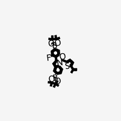 C=C(C)c1ccc(C2Oc3cc(B4OC(C)(C)C(C)(C)O4)cc(F)c3-c3cc4cc(B5OC(C)(C)C(C)(C)O5)ccc4n32)s1